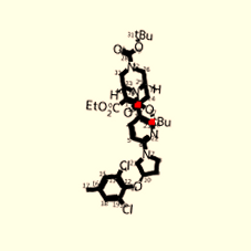 CCOC(=O)C1=C(c2ccc(N3CC[C@@H](Oc4c(Cl)cc(C)cc4Cl)C3)nc2)C[C@@H]2CN(C(=O)OC(C)(C)C)C[C@H]1N2C(=O)OC(C)(C)C